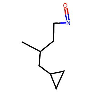 CC(CCN=O)CC1CC1